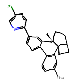 CCCCc1ccc2c(c1)[C@@]13CCC1CC[C@@]3(C)c1cc(-c3ccc(Br)cn3)ccc1-2